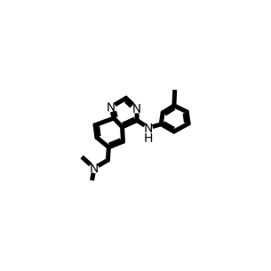 Cc1cccc(Nc2ncnc3ccc(CN(C)C)cc23)c1